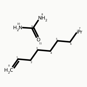 C=CCCCCCC(C)C.NC(N)=O